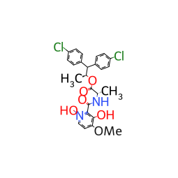 COc1cc[n+](O)c(C(=O)N[C@@H](C)C(=O)O[C@@H](C)C(c2ccc(Cl)cc2)c2ccc(Cl)cc2)c1O